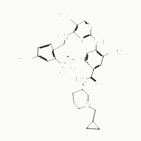 COc1cc(C(=O)N[C@@H]2CCCN(CC3CC3)C2)ccc1Nc1ncc(C(F)(F)F)c(NCc2ccc(C)cc2N(C)S(C)(=O)=O)n1